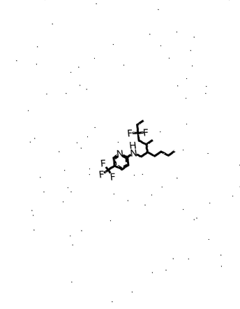 CCCCC(CNc1ccc(C(F)(F)F)cn1)C(C)CC(F)(F)CC